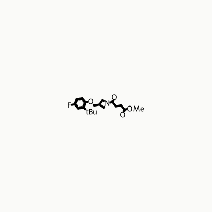 COC(=O)CCC(=O)N1CC(COc2ccc(F)cc2C(C)(C)C)C1